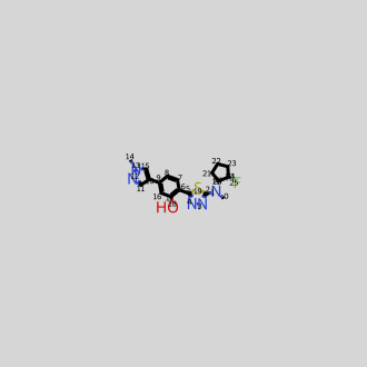 CN(c1nnc(-c2ccc(-c3cnn(C)c3)cc2O)s1)[C@@H]1CCC[C@@H]1F